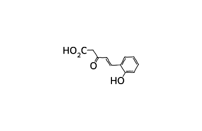 O=C(O)CC(=O)C=Cc1ccccc1O